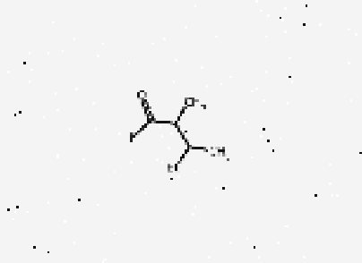 CCC(C)C(C)C(=O)I